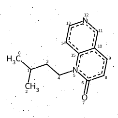 CC(C)CCn1c(=O)ccc2cnccc21